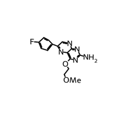 COCCOc1nc(N)nc2ncc(-c3ccc(F)cc3)nc12